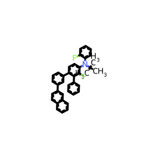 CC(C)(C)N(c1ccccc1F)c1ccc(-c2cccc(-c3ccc4ccccc4c3)c2)c(-c2ccccc2)c1F